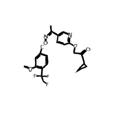 COc1cc(CON=C(C)c2ccc(OCC(=O)C3CC3)nc2)ccc1C(F)(F)CF